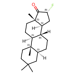 CC1(C)CC[C@@]2(C)[C@@H](CC[C@@H]3[C@@H]2CC[C@]2(C)C(=O)[C@H](F)C[C@@H]32)C1